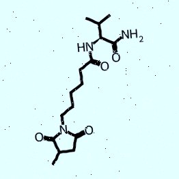 CC1CC(=O)N(CCCCCC(=O)N[C@H](C(N)=O)C(C)C)C1=O